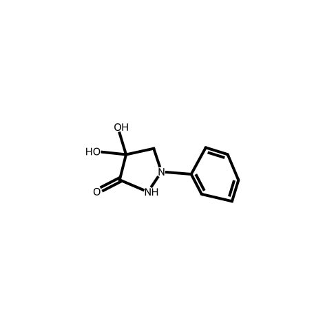 O=C1NN(c2ccccc2)CC1(O)O